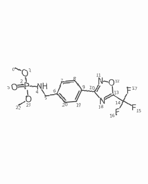 COP(=O)(NCc1ccc(-c2noc(C(F)(F)F)n2)cc1)OC